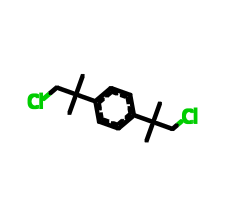 CC(C)(CCl)c1ccc(C(C)(C)CCl)cc1